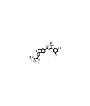 CC(C)C(=O)N1CC2(C1)OCc1cc(C(=O)C=C(c3cc(Cl)cc(Cl)c3)C(F)(F)F)ccc12